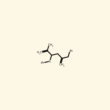 C=C(CC(C)C)CC(SC(C)C)C(=C)C